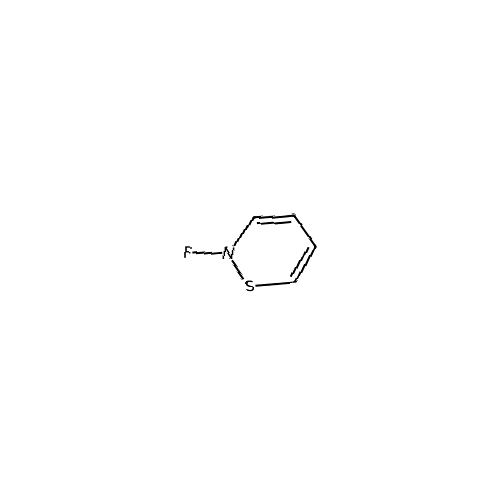 FN1C=CC=CS1